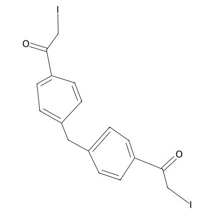 O=C(CI)c1ccc(Cc2ccc(C(=O)CI)cc2)cc1